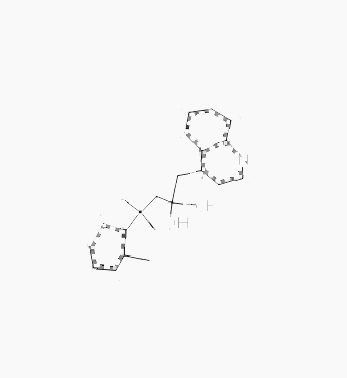 Cc1ccccc1C(C)(C)CC(O)(Cc1ccnc2ccccc12)C(F)(F)F